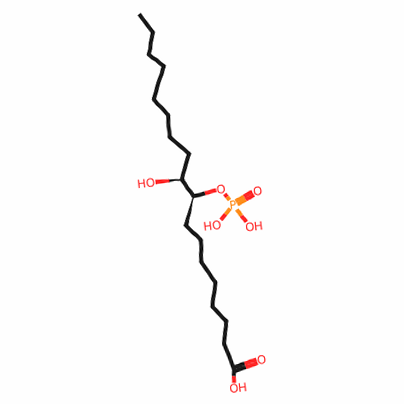 CCCCCCCC[C@H](O)[C@H](CCCCCCCC(=O)O)OP(=O)(O)O